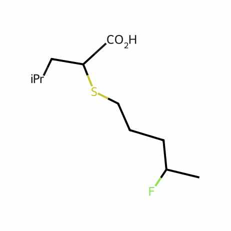 CC(C)CC(SCCCC(C)F)C(=O)O